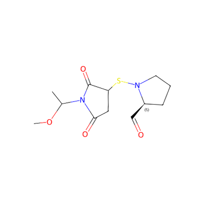 COC(C)N1C(=O)CC(SN2CCC[C@H]2C=O)C1=O